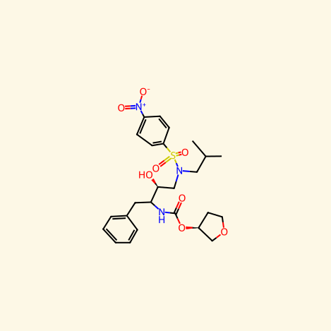 CC(C)CN(C[C@H](O)C(Cc1ccccc1)NC(=O)O[C@H]1CCOC1)S(=O)(=O)c1ccc([N+](=O)[O-])cc1